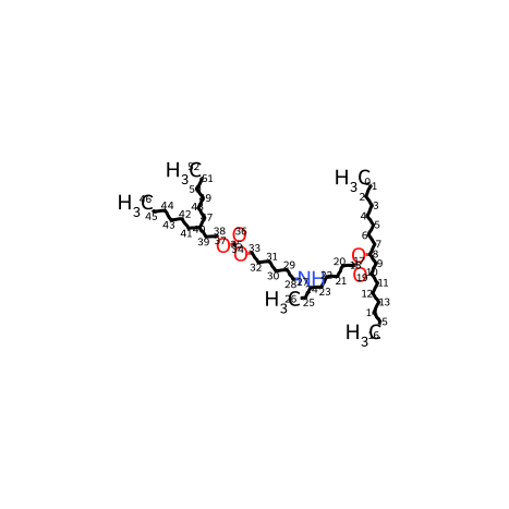 CCCCCCCCC(CCCCCCCC)OC(=O)CCCCC(CC)NCCCCCCOC(=O)OCCC(CCCCCC)CCCCCC